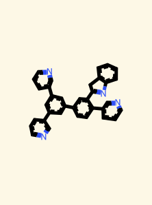 c1cncc(-c2cc(-c3cccnc3)cc(-c3ccc(-c4cccnc4)c(C4=Nc5ccccc5C4)c3)c2)c1